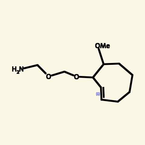 COC1CCCC/C=C/C1OCOCN